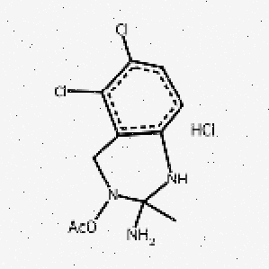 CC(=O)ON1Cc2c(ccc(Cl)c2Cl)NC1(C)N.Cl